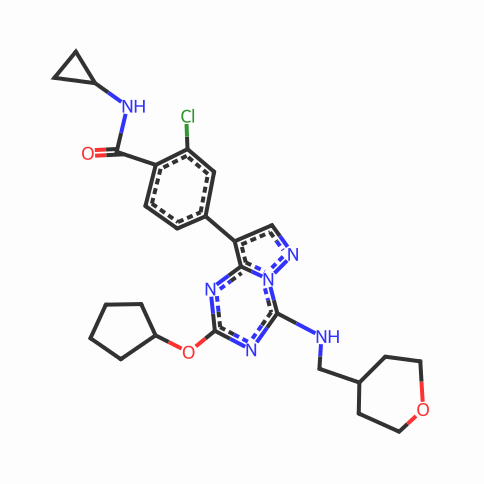 O=C(NC1CC1)c1ccc(-c2cnn3c(NCC4CCOCC4)nc(OC4CCCC4)nc23)cc1Cl